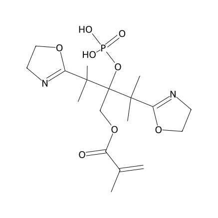 C=C(C)C(=O)OCC(OP(=O)(O)O)(C(C)(C)C1=NCCO1)C(C)(C)C1=NCCO1